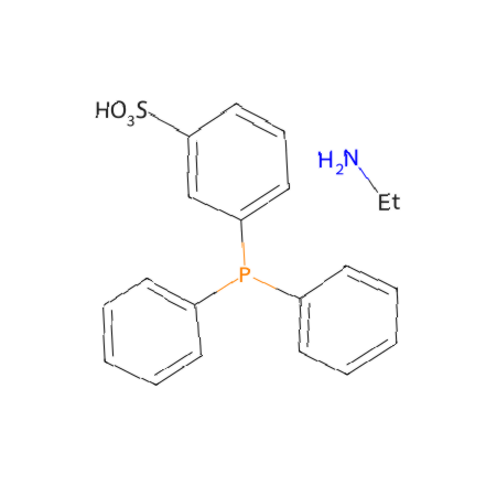 CCN.O=S(=O)(O)c1cccc(P(c2ccccc2)c2ccccc2)c1